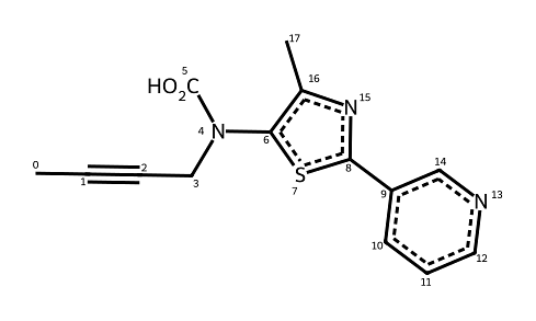 CC#CCN(C(=O)O)c1sc(-c2cccnc2)nc1C